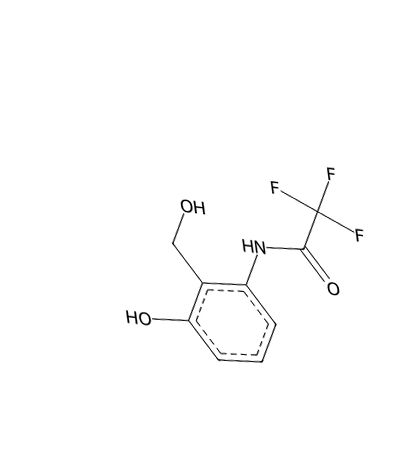 O=C(Nc1cccc(O)c1CO)C(F)(F)F